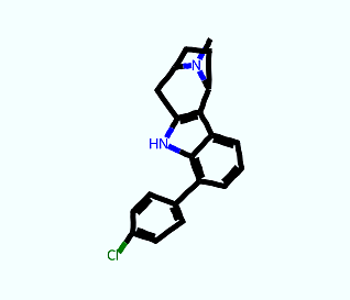 CN1C2CCC1c1c([nH]c3c(-c4ccc(Cl)cc4)cccc13)C2